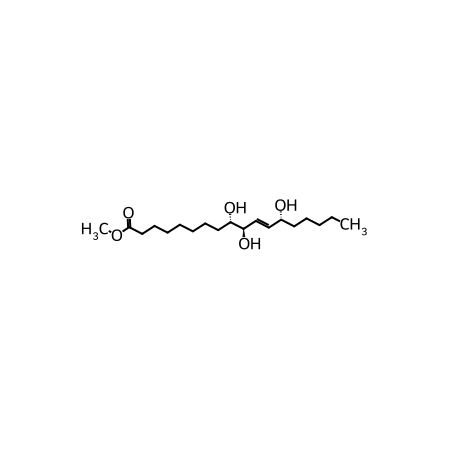 CCCCC[C@@H](O)/C=C/[C@@H](O)[C@@H](O)CCCCCCCC(=O)OC